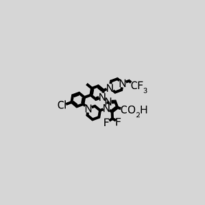 Cc1cc(N2CCN(CC(F)(F)F)CC2)ncc1-c1ccc(Cl)cc1N1CCCC(n2ncc(C(=O)O)c2C(F)F)C1